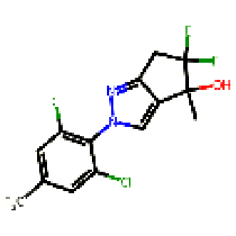 CC1(O)c2cn(-c3c(Cl)cc(C(F)(F)F)cc3Cl)nc2CC1(F)F